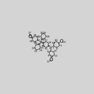 COc1ccc([C](c2ccc(OC)cc2)c2ccc(C(c3ccccc3)(c3ccccc3)c3ccc(OC)cc3)cc2)cc1